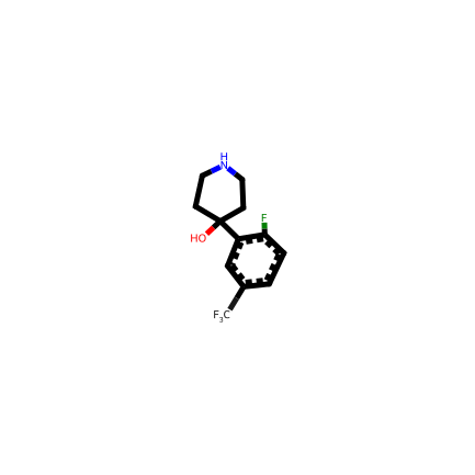 OC1(c2cc(C(F)(F)F)ccc2F)CCNCC1